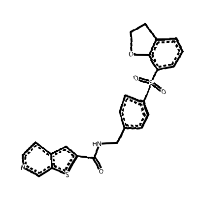 O=C(NCc1ccc(S(=O)(=O)c2cccc3c2OCC3)cc1)c1cc2ccncc2s1